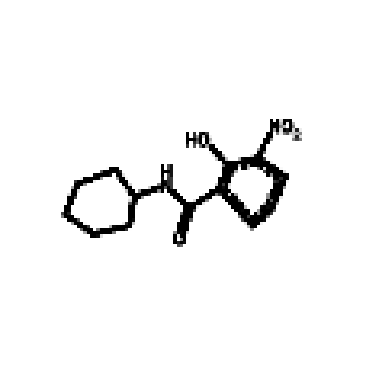 O=C(NC1CCCCC1)c1cccc([N+](=O)[O-])c1O